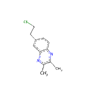 Cc1nc2ccc(CCCl)cc2nc1C